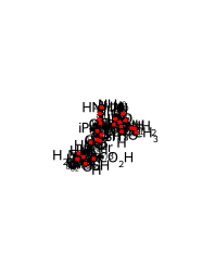 CC(C)C[C@H](NC(=O)[C@H](CS)NC(=O)[C@H](CC(C)C)NC(=O)[C@H](CCCNC(=N)N)NC(=O)[C@H](C)NC(=O)[C@H](Cc1c[nH]cn1)NC(=O)[C@H](Cc1c[nH]cn1)NC(=O)CNC(=O)[C@@H](N)[C@@H](C)O)C(=O)N[C@@H](C)C(=O)N[C@@H](CC(N)=O)C(=O)N[C@@H](Cc1ccccc1)C(=O)N[C@@H](CS)C(=O)NCC(=O)O